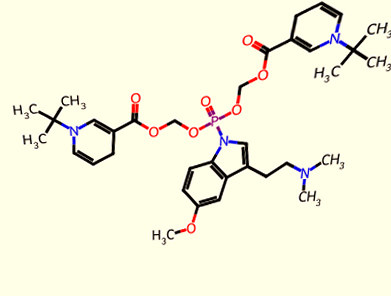 COc1ccc2c(c1)c(CCN(C)C)cn2P(=O)(OCOC(=O)C1=CN(C(C)(C)C)C=CC1)OCOC(=O)C1=CN(C(C)(C)C)C=CC1